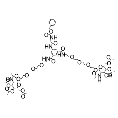 CC(=O)N[C@H]1C(OCCOCCOCCOCCNC(=O)c2cc(NC(=O)CNC(=O)OCc3ccccc3)cc(C(=O)NCCOCCOCCOCCOC3O[C@H](COC(C)=O)[C@H](OC(C)=O)[C@H](OC(C)=O)[C@H]3NC(C)=O)c2)O[C@H](COC(C)=O)[C@H](OC(C)=O)[C@@H]1O